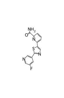 NC(=O)c1cccc(-c2cnc(-c3cncc(F)c3)s2)n1